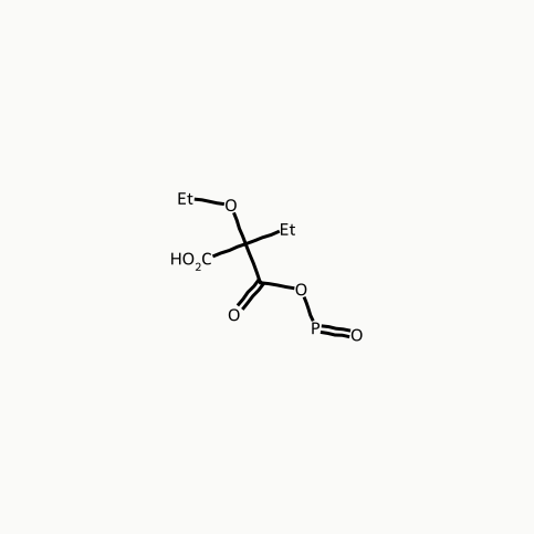 CCOC(CC)(C(=O)O)C(=O)OP=O